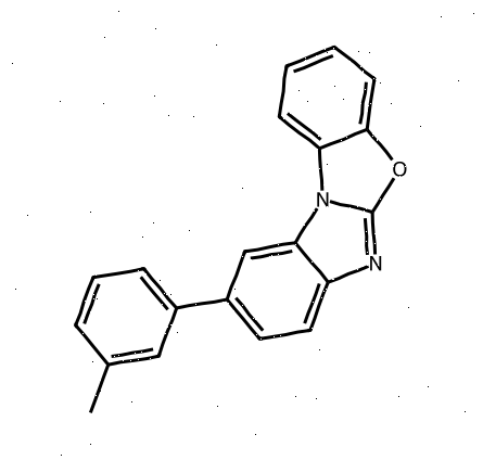 Cc1cccc(-c2ccc3nc4oc5ccccc5n4c3c2)c1